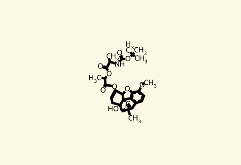 COc1ccc2c3c1OC1C(OC(=O)C(C)OC(=O)C(C)NC(=O)OC(C)(C)C)=CCC4(O)C(C2)N(C)CCC314